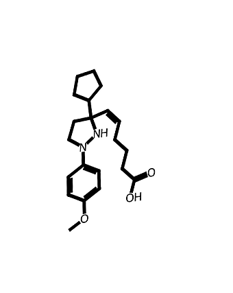 COc1ccc(N2CCC(/C=C\CCCC(=O)O)(C3CCCC3)N2)cc1